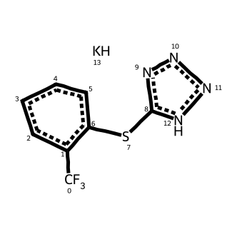 FC(F)(F)c1ccccc1Sc1nnn[nH]1.[KH]